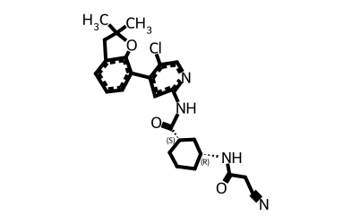 CC1(C)Cc2cccc(-c3cc(NC(=O)[C@H]4CCC[C@@H](NC(=O)CC#N)C4)ncc3Cl)c2O1